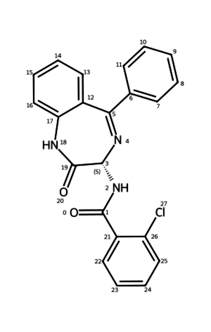 O=C(N[C@H]1N=C(c2ccccc2)c2ccccc2NC1=O)c1ccccc1Cl